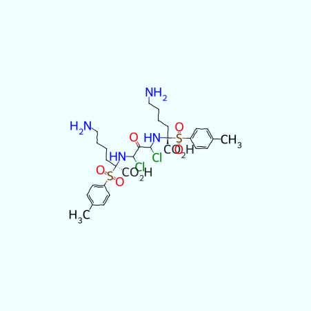 Cc1ccc(S(=O)(=O)[C@@](CCCCN)(NC(Cl)C(=O)C(Cl)N[C@@](CCCCN)(C(=O)O)S(=O)(=O)c2ccc(C)cc2)C(=O)O)cc1